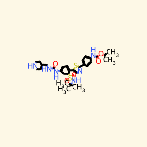 CC(C)OC(=O)Nc1ccc(-c2ncc(C3=CC=C(NC(=O)NCC4CCNCC4)CC3S(=O)(=O)NC(C)(C)C)s2)cc1